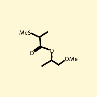 COCC(C)OC(=O)C(C)SC